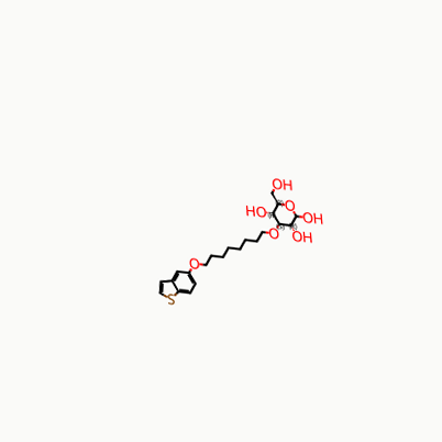 OC[C@H]1OC(O)[C@H](O)[C@@H](OCCCCCCCCOc2ccc3sccc3c2)[C@@H]1O